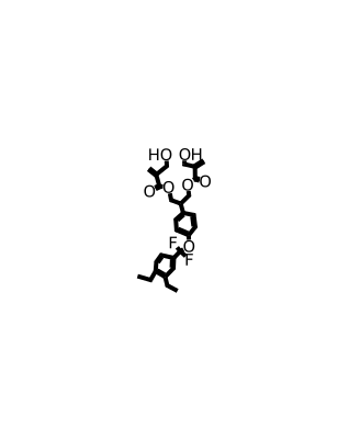 C=C(CO)C(=O)OCC(COC(=O)C(=C)CO)c1ccc(OC(F)(F)c2ccc(CC)c(CC)c2)cc1